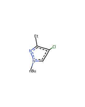 CCCCn1[c]c(Cl)c(CC)n1